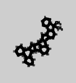 CC1(C)c2ccccc2-c2c1ccc1c2nc2n1c1cccc3c1n2c1nc2c4ccccc4c4ccccc4c2n31